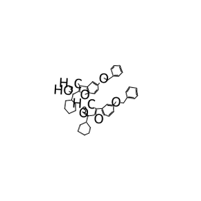 Cc1c(C(=O)C2CCCCC2)oc2ccc(OCc3ccccc3)cc12.Cc1c(C(O)C2CCCCC2)oc2ccc(OCc3ccccc3)cc12